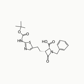 CC(C)(C)OC(=O)Nc1ncc(CC[C@H]2C(=O)N(Cc3ccccc3)[C@@H]2C(=O)O)s1